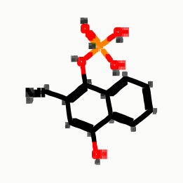 Cc1cc(O)c2ccccc2c1OP(=O)(O)O.[NaH]